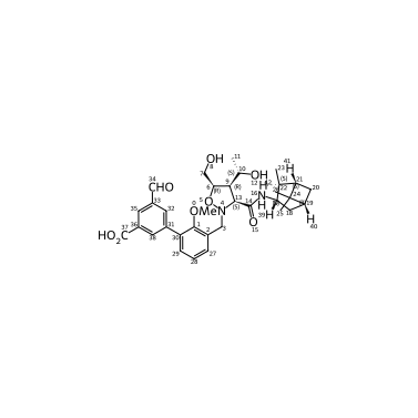 COc1c(CN2O[C@@H](CO)[C@@H]([C@H](C)O)[C@H]2C(=O)N[C@H]2C[C@H]3C[C@@H]([C@@H]2C)C3(C)C)cccc1-c1cc(C=O)cc(C(=O)O)c1